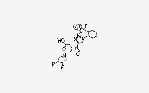 CC(F)(F)c1ccccc1-c1cc(N(C=O)[C@@H](CCN2C[C@@H](F)[C@@H](F)C2)CC(=O)O)nn1C1CCCC1